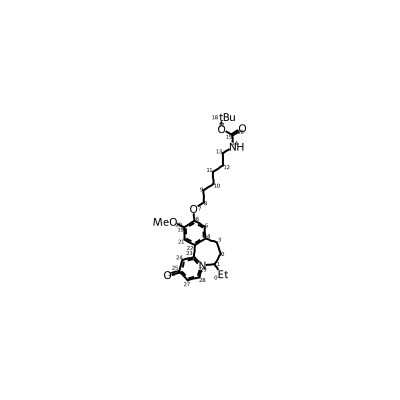 CCC1CCc2cc(OCCCCCCNC(=O)OC(C)(C)C)c(OC)cc2-c2cc(=O)ccn21